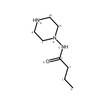 CCCC(=O)NN1CCNCC1